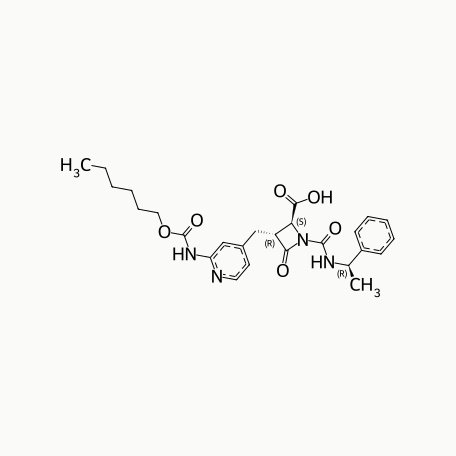 CCCCCCOC(=O)Nc1cc(C[C@H]2C(=O)N(C(=O)N[C@H](C)c3ccccc3)[C@@H]2C(=O)O)ccn1